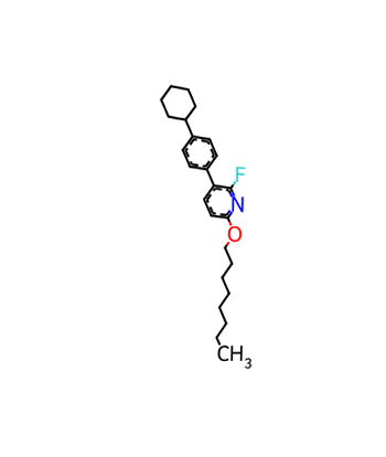 CCCCCCCCOc1ccc(-c2ccc(C3CCCCC3)cc2)c(F)n1